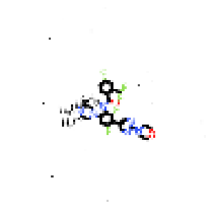 C[C@@H]1CN(c2cc(F)c(-c3cnc(N4CCOCC4)nc3)c(F)c2N(C(=O)O)C(=O)c2ccc(F)cc2C(F)F)C[C@H](C)N1C